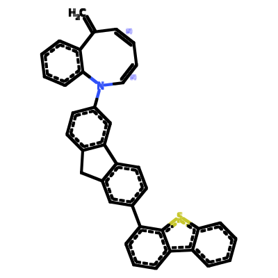 C=C1/C=C\C=C/N(c2ccc3c(c2)-c2ccc(-c4cccc5c4sc4ccccc45)cc2C3)c2ccccc21